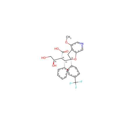 COc1cncc2c1C[C@](c1ccc(C(F)(F)F)cc1)([C@H](c1ccccc1)[C@@H](C(=O)O)[C@@H](O)CO)O2